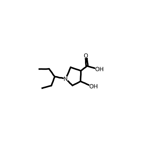 CCC(CC)N1CC(O)C(C(=O)O)C1